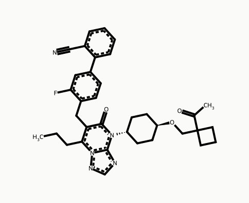 CCCc1c(Cc2ccc(-c3ccccc3C#N)cc2F)c(=O)n([C@H]2CC[C@H](OCC3(C(C)=O)CCC3)CC2)c2ncnn12